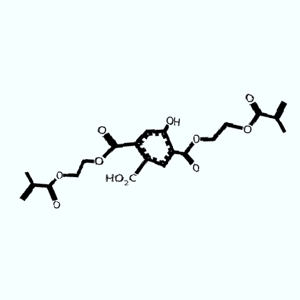 C=C(C)C(=O)OCCOC(=O)c1cc(C(=O)O)c(C(=O)OCCOC(=O)C(=C)C)cc1O